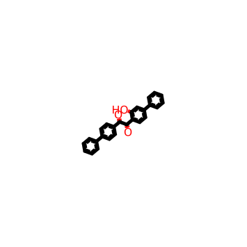 O=C(C(=O)c1ccc(-c2ccccc2)cc1O)c1ccc(-c2ccccc2)cc1